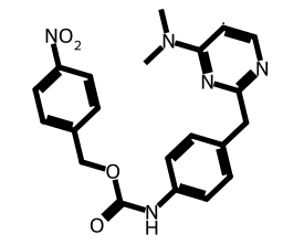 CN(C)c1[c]cnc(Cc2ccc(NC(=O)OCc3ccc([N+](=O)[O-])cc3)cc2)n1